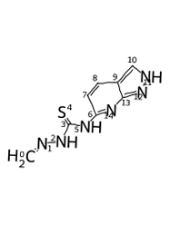 C=NNC(=S)Nc1ccc2c[nH]nc2n1